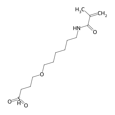 C=C(C)C(=O)NCCCCCCOCCC[SH](=O)=O